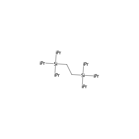 CC(C)[Si](CC[Si](C(C)C)(C(C)C)C(C)C)(C(C)C)C(C)C